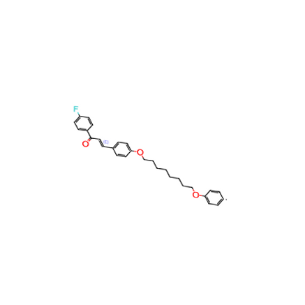 O=C(/C=C/c1ccc(OCCCCCCCCOc2cc[c]cc2)cc1)c1ccc(F)cc1